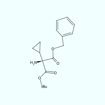 CC(C)(C)OC(=O)[C@@](N)(C(=O)OCc1ccccc1)C1CC1